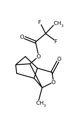 CC(F)(F)C(=O)OC1C2CC3C(=O)OC1(C)C3C2